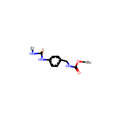 CCNC(=S)Nc1ccc(CNC(=O)OC(C)(C)C)cc1